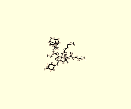 C=CCOC(=O)N[C@]1(C(=O)O[C@@H](C)OC(=O)C23CC4CC(CC(C4)C2)C3)[C@H]2[C@@H](C[C@H]1OCc1ccc(F)cc1)[C@@H]2C(=O)OCC=C